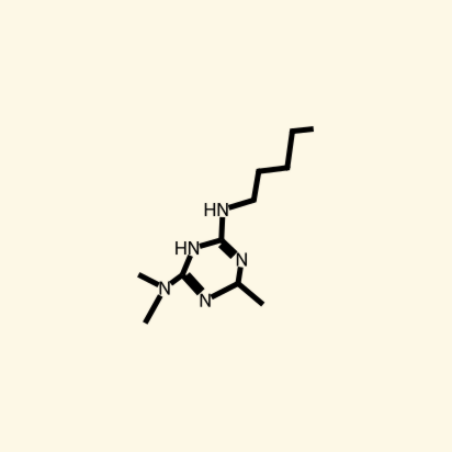 CCCCCNC1=NC(C)N=C(N(C)C)N1